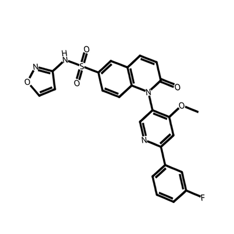 COc1cc(-c2cccc(F)c2)ncc1-n1c(=O)ccc2cc(S(=O)(=O)Nc3ccon3)ccc21